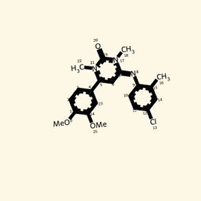 COc1ccc(-c2cc(=Nc3ccc(Cl)cc3C)n(C)c(=O)n2C)cc1OC